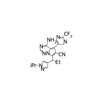 CCC(c1cnn(C(C)C)c1)c1c(C#N)c(-c2cnc(C(F)(F)F)nc2)c2c(N)ncnn12